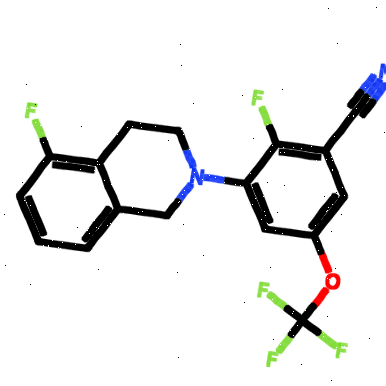 N#Cc1cc(OC(F)(F)F)cc(N2CCc3c(F)cccc3C2)c1F